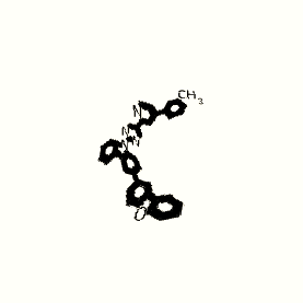 Cc1cccc(-c2ccnc(-c3cnc(-n4c5ccccc5c5cc(-c6ccc7oc8ccccc8c7c6)ccc54)nc3)c2)c1